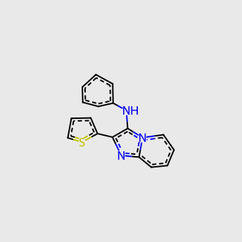 c1ccc(Nc2c(-c3cccs3)nc3ccccn23)cc1